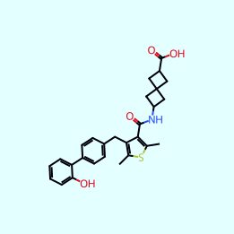 Cc1sc(C)c(C(=O)NC2CC3(C2)CC(C(=O)O)C3)c1Cc1ccc(-c2ccccc2O)cc1